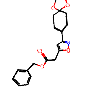 O=C(Cc1cc(C2CCC3(CC2)OCCO3)no1)OCc1ccccc1